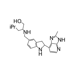 Cc1nc2c(C3Cc4cc(CNC(CO)CC(C)C)ccc4N3)ccnc2[nH]1